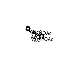 CC(=O)OC[C@H]1OC(OC(C)=O)[C@@](COCCOCc2ccccc2)(OC(C)=O)[C@@H](OC(C)=O)[C@@H]1OC(C)=O